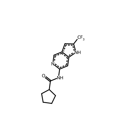 O=C(Nc1cc2[nH]c(C(F)(F)F)cc2cn1)C1CCCC1